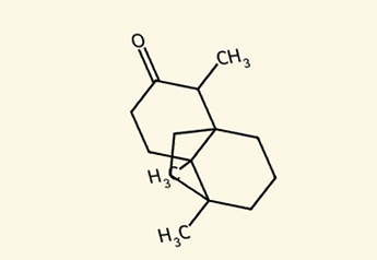 CC1C(=O)CCC2(C)C3(C)CCCC12CC3